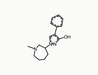 CN1CCCCC(n2cc(-c3ccccc3)c(O)n2)C1